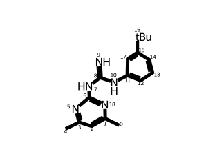 Cc1cc(C)nc(NC(=N)Nc2cccc(C(C)(C)C)c2)n1